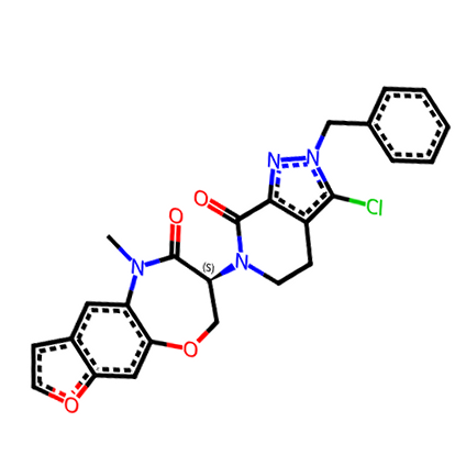 CN1C(=O)[C@@H](N2CCc3c(nn(Cc4ccccc4)c3Cl)C2=O)COc2cc3occc3cc21